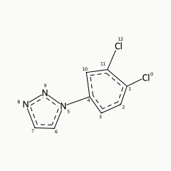 Clc1ccc(-n2ccnn2)cc1Cl